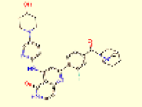 O=C(c1ccc(-c2cc(Nc3ccc(N4CCC(O)CC4)cn3)c3c(=O)[nH]ccc3n2)c(F)c1)N1CC2CCC1CC2